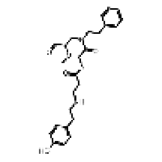 COC(C=O)CN(CCc1ccccc1)C(=O)CNC(=O)CCNCCc1ccc(O)cc1